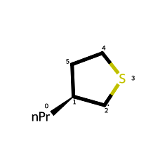 CCC[C@@H]1[CH]SCC1